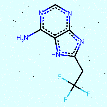 Nc1ncnc2nc(CC(F)(F)F)[nH]c12